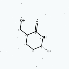 C[C@@H]1CCC(CO)C(=O)N1